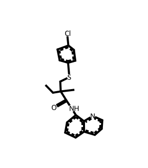 CCC(C)(CSc1ccc(Cl)cc1)C(=O)Nc1cccc2cccnc12